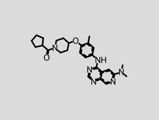 Cc1cc(Nc2ncnc3cnc(N(C)C)cc23)ccc1OC1CCN(C(=O)C2CCCC2)CC1